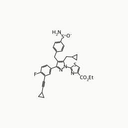 CCOC(=O)c1csc(-n2nc(-c3ccc(F)c(C#CC4CC4)c3)c(Cc3ccc([S+](N)[O-])cc3)c2CC2CC2)n1